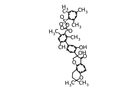 Cc1cc(C)c(S(=O)(=O)OS(=O)(=O)c2c(C)cc(C)c(-c3ccc(C4(O)COc5c(ccc6c5CCC(C)(C)O6)C4=O)c(O)c3)c2C)c(C)c1